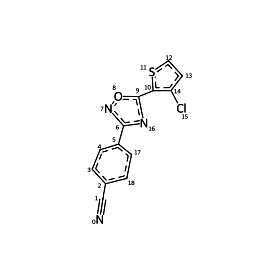 N#Cc1ccc(-c2noc(-c3sccc3Cl)n2)cc1